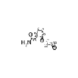 NC(=O)Cc1ccccc1OCCC1CO1